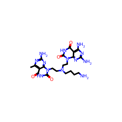 Cc1nc(N)nc2c1c(=O)[nH]c(=O)n2CCN(CCCCN)CCn1c(=O)[nH]c(=O)c2c(N)nc(N)nc21